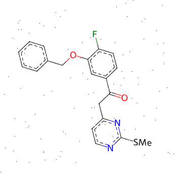 CSc1nccc(CC(=O)c2ccc(F)c(OCc3ccccc3)c2)n1